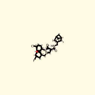 CC1(C)C2CC(CNC(=O)c3cn(Cc4cccc(F)c4)n(-c4ccc(Cl)cc4)c3=O)CC1C2